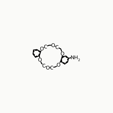 Nc1ccc2c(c1)OCCOCCOc1ccccc1OCCOCCO2